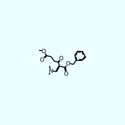 COC(=O)CCC(=O)C(=CN(C)C)C(=O)OCc1ccccc1